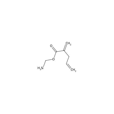 C=CCC(=C)C(=O)OC[SiH3]